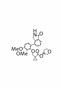 COc1ccc(-c2cccc3c2CNC3=O)c(OCC2(C(=O)O[C@@H]3CCOC3)CC2)c1OC